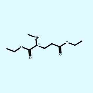 CCOC(=O)CC[C@H](NC)C(=O)OCC